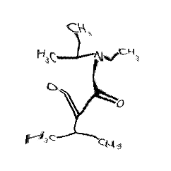 CC(C)C(=O)C(=O)N(C)C(C)C